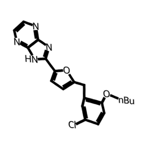 CCCCOc1ccc(Cl)cc1Cc1ccc(-c2nc3nccnc3[nH]2)o1